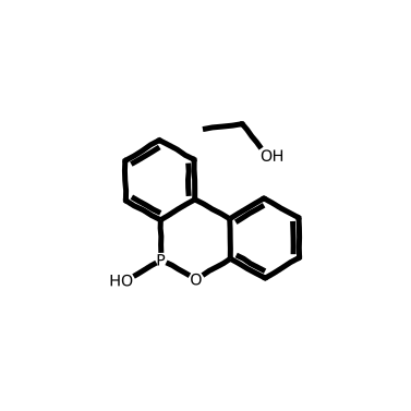 CCO.OP1Oc2ccccc2-c2ccccc21